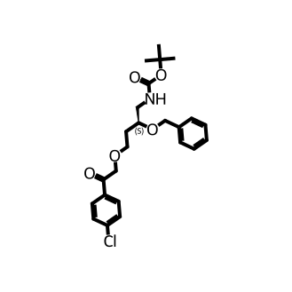 CC(C)(C)OC(=O)NC[C@H](CCOCC(=O)c1ccc(Cl)cc1)OCc1ccccc1